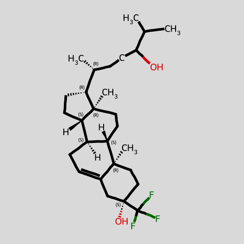 CC(C)C(O)CC[C@@H](C)[C@H]1CC[C@H]2[C@@H]3CC=C4C[C@](O)(C(F)(F)F)CC[C@]4(C)[C@H]3CC[C@]12C